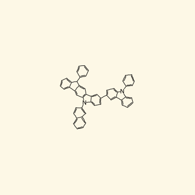 c1ccc(C2c3ccccc3-c3cc4c(cc32)c2cc(-c3ccc5c(c3)c3ccccc3n5-c3ccccc3)ccc2n4-c2ccc3ccccc3c2)cc1